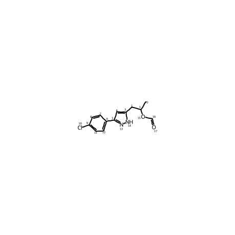 CC(Cc1cc(-c2ccc(Cl)cc2)n[nH]1)OC=O